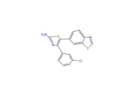 Nc1nc(-c2cccc(Cl)c2)c(-c2ccc3ncsc3c2)s1